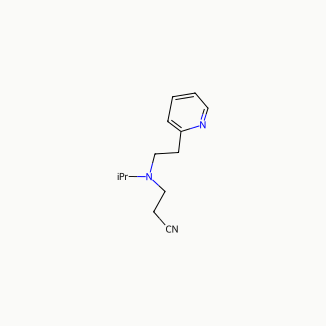 CC(C)N(CCC#N)CCc1ccccn1